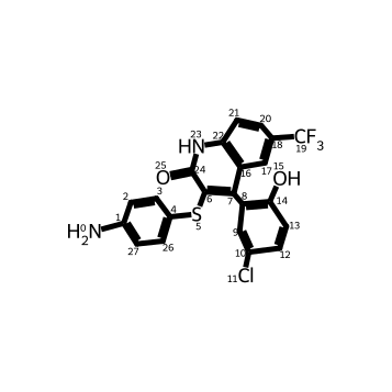 Nc1ccc(Sc2c(-c3cc(Cl)ccc3O)c3cc(C(F)(F)F)ccc3[nH]c2=O)cc1